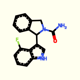 NC(=O)N1Cc2ccccc2C1c1c[nH]c2cccc(F)c12